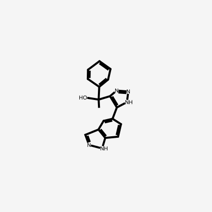 CC(O)(c1ccccc1)c1nn[nH]c1-c1ccc2[nH]ncc2c1